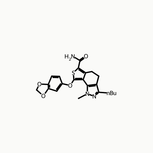 CCCCc1nn(C)c2c1CCc1c(C(N)=O)sc(Oc3ccc4c(c3)OCO4)c1-2